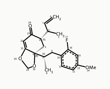 C=CC(C)[C@@H]1C[C@]2([C@@H](C)Cc3ccc(OC)cc3F)OCOC2=CC1=O